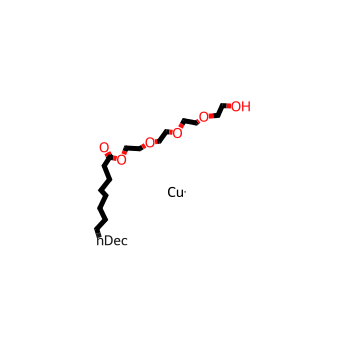 CCCCCCCCCCCCCCCCCC(=O)OCCOCCOCCOCCO.[Cu]